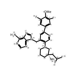 COc1c(F)cc(-c2cc(Cn3cnc4c(N)ncnc43)c(N3CCC[C@](N)(CC(F)F)C3)cn2)cc1F